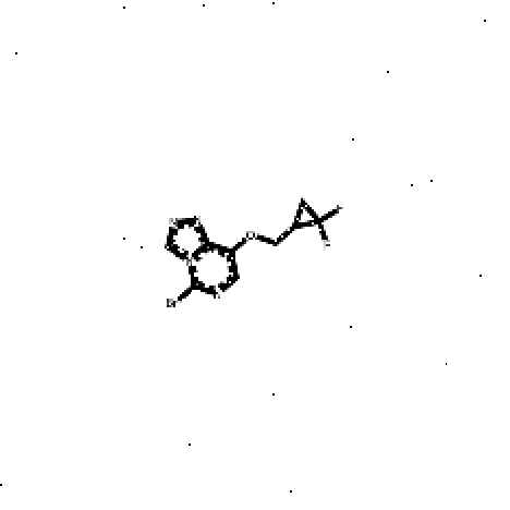 FC1(F)CC1COc1cnc(Br)n2cnnc12